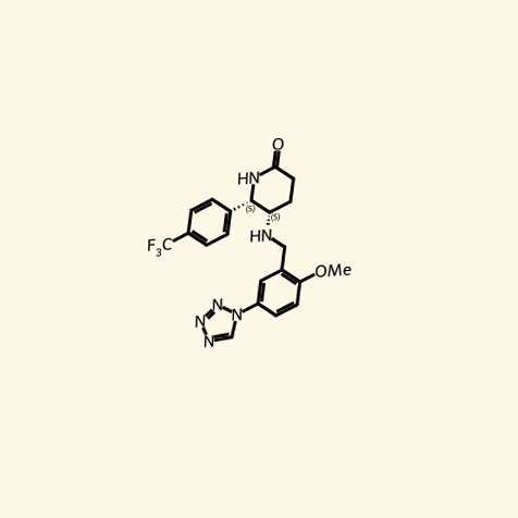 COc1ccc(-n2cnnn2)cc1CN[C@H]1CCC(=O)N[C@H]1c1ccc(C(F)(F)F)cc1